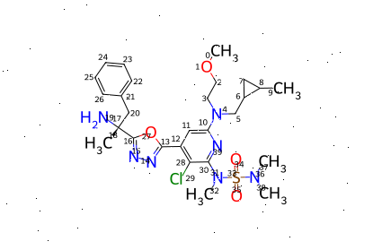 COCCN(CC1CC1C)c1cc(-c2nnc([C@](C)(N)Cc3ccccc3)o2)c(Cl)c(N(C)S(=O)(=O)N(C)C)n1